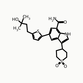 CC(C)(O)CCc1ccc(-c2cc(C(N)=O)c3[nH]cc(C4CCS(=O)(=O)CC4)c3c2)s1